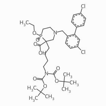 CCOP1(=O)CCN(Cc2ccc(Cl)cc2-c2ccc(Cl)cc2)CC1(CCCCN(C(=O)OC(C)(C)C)C(=O)OC(C)(C)C)C(=O)O